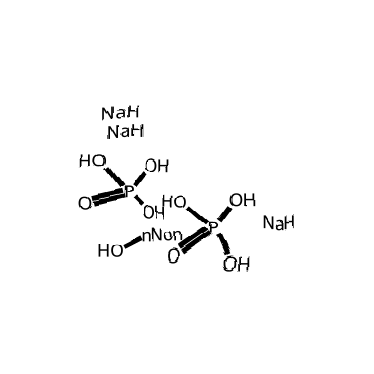 CCCCCCCCCO.O=P(O)(O)O.O=P(O)(O)O.[NaH].[NaH].[NaH]